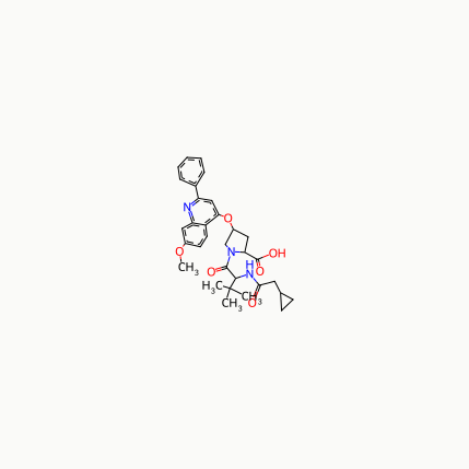 COc1ccc2c(OC3CC(C(=O)O)N(C(=O)C(NC(=O)CC4CC4)C(C)(C)C)C3)cc(-c3ccccc3)nc2c1